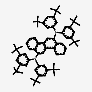 CC(C)(C)c1cc(N(c2cc(C(C)(C)C)cc(C(C)(C)C)c2)c2cc3c4ccccc4c(N(c4cc(C(C)(C)C)cc(C(C)(C)C)c4)c4cc(C(C)(C)C)cc(C(C)(C)C)c4)cc3c3ccccc23)cc(C(C)(C)C)c1